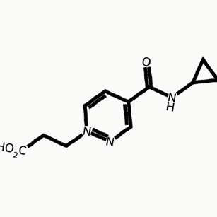 O=C(O)CC[n+]1ccc(C(=O)NC2CC2)cn1